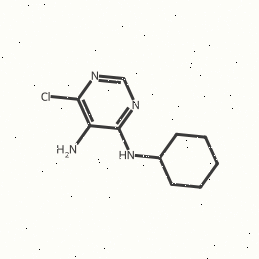 Nc1c(Cl)ncnc1NC1CCCCC1